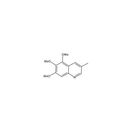 COc1cc2ncc(C)cc2c(OC)c1OC